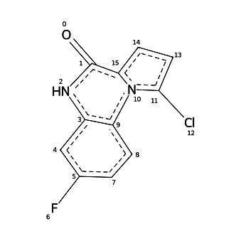 O=c1[nH]c2cc(F)ccc2n2c(Cl)ccc12